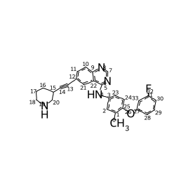 Cc1cc(Nc2ncnc3ccc(C#CC4CCCNC4)cc23)ccc1Oc1cccc(F)c1